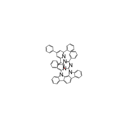 c1ccc(-c2cc(-c3ccccc3)nc(-c3ccc(-n4c5ccccc5c5ccc6c7ccccc7n(-c7nc(-c8ccccc8)nc(-c8ccccc8)n7)c6c54)cc3)c2)cc1